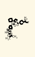 Cc1nc(NS(=O)(=O)c2ccc(NC(=O)[C@@H]3[C@H](C4CCCCC4)CCN3C(=O)[C@H]3CC[C@H]([C@H](N)CF)CC3)cc2)oc1C